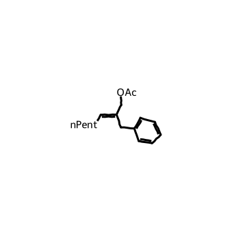 CCCCC/C=C(/COC(C)=O)Cc1ccccc1